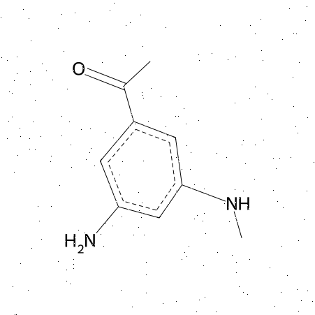 CNc1cc(N)cc(C(C)=O)c1